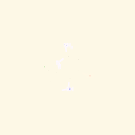 Cl.Nc1cc(O)c2[nH]ccc2n1